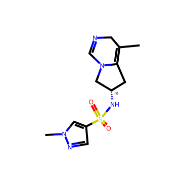 CC1=C2C[C@H](NS(=O)(=O)c3cnn(C)c3)CN2C=NC1